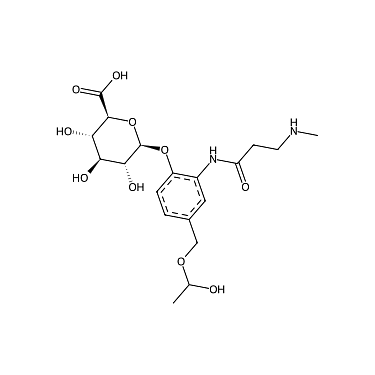 CNCCC(=O)Nc1cc(COC(C)O)ccc1O[C@@H]1O[C@H](C(=O)O)[C@@H](O)[C@H](O)[C@H]1O